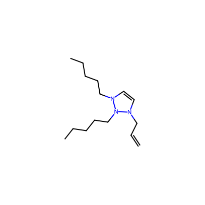 C=CCN1C=CN(CCCCC)N1CCCCC